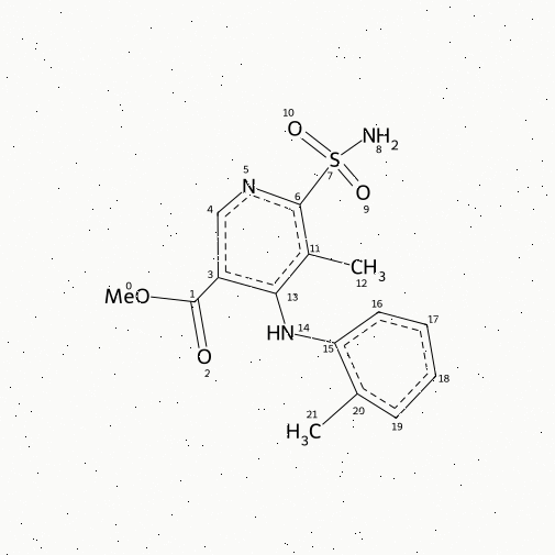 COC(=O)c1cnc(S(N)(=O)=O)c(C)c1Nc1ccccc1C